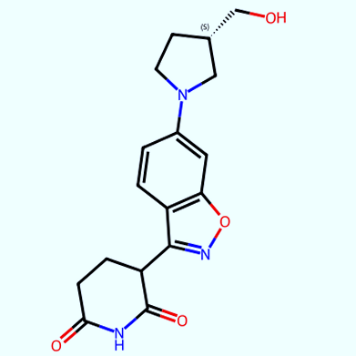 O=C1CCC(c2noc3cc(N4CC[C@H](CO)C4)ccc23)C(=O)N1